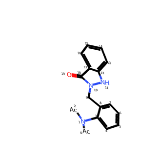 CC(=O)N(C(C)=O)c1ccccc1Cn1[nH]c2ccccc2c1=O